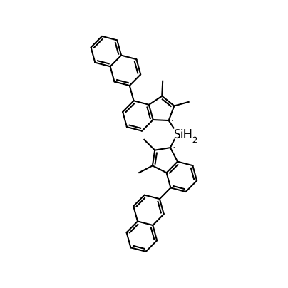 CC1=C(C)c2c(cccc2-c2ccc3ccccc3c2)[C]1[SiH2][C]1C(C)=C(C)c2c1cccc2-c1ccc2ccccc2c1